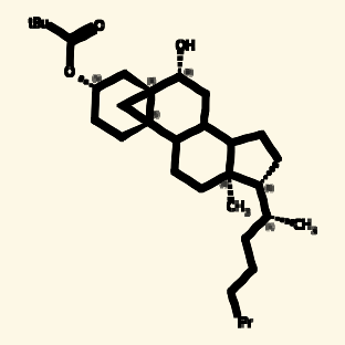 CC(C)CCC[C@@H](C)[C@H]1CCC2C3C[C@@H](O)[C@]45C[C@@H](OC(=O)C(C)(C)C)CC[C@]4(C5)C3CC[C@@]21C